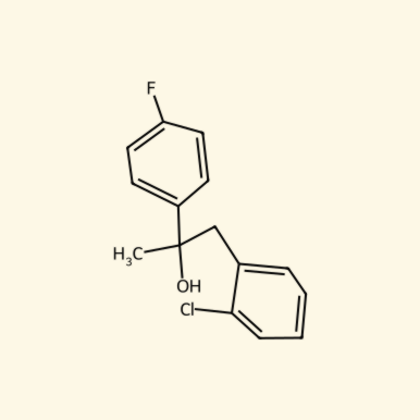 CC(O)(Cc1ccccc1Cl)c1ccc(F)cc1